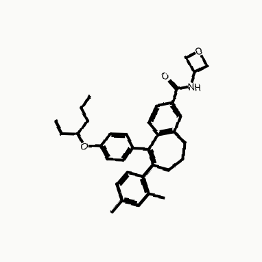 CCCC(CC)Oc1ccc(C2=C(c3ccc(C)cc3C)CCCc3cc(C(=O)NC4COC4)ccc32)cc1